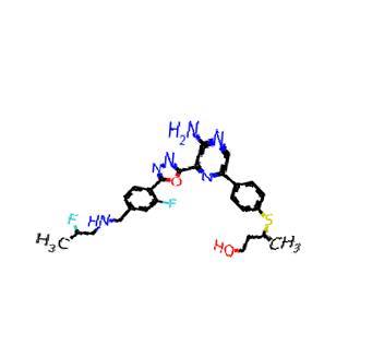 CC(F)CNCc1ccc(-c2nnc(-c3nc(-c4ccc(SC(C)CCO)cc4)cnc3N)o2)c(F)c1